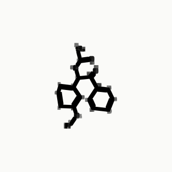 CC(C)Oc1cccc(C(OC(=O)C(C)(C)C)C(=O)c2ccccc2)c1